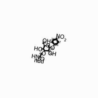 CCCCNC(=O)CO[C@H]1[C@@H](O)[C@@H](CO)O[C@@H](Oc2ccc([N+](=O)[O-])cc2)[C@@H]1O